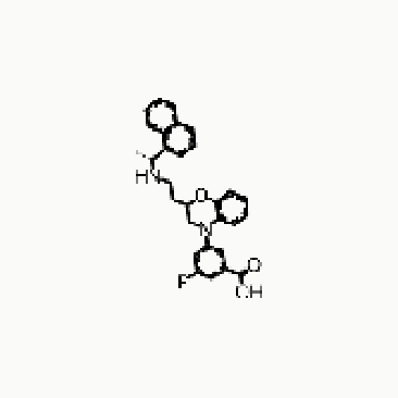 C[C@@H](NCCC1CN(c2cc(F)cc(C(=O)O)c2)c2ccccc2O1)c1cccc2ccccc12